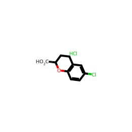 Cl.O=C(O)C1CCc2cc(Cl)ccc2O1